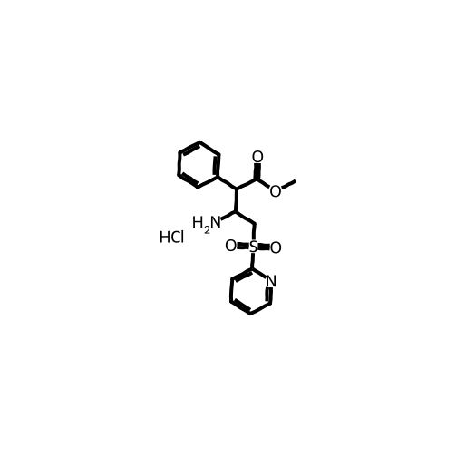 COC(=O)C(c1ccccc1)C(N)CS(=O)(=O)c1ccccn1.Cl